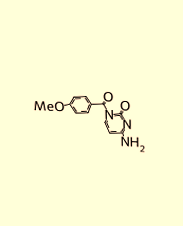 COc1ccc(C(=O)n2ccc(N)nc2=O)cc1